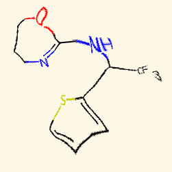 FC(F)(F)C(NC1=NCCO1)c1cccs1